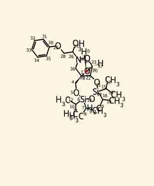 [3H][C@@H]1O[C@]23CO[Si](C(C)C)(C(C)C)O[Si](C(C)C)(C(C)C)OC2[C@@H]1ON(C(O)COc1ccccc1)C3